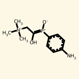 C[N+](C)(C)C/C(O)=[P+](\[O-])c1ccc(N)cc1